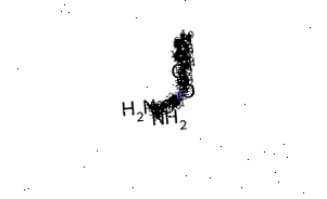 CC(C)C(C)C1CCC2C3CCC4CC(OC(=O)c5ccc(C(=O)/C=C/c6ccc(OCc7cc(N)cc(N)c7)cc6)cc5)CCC4(C)C3CCC12C